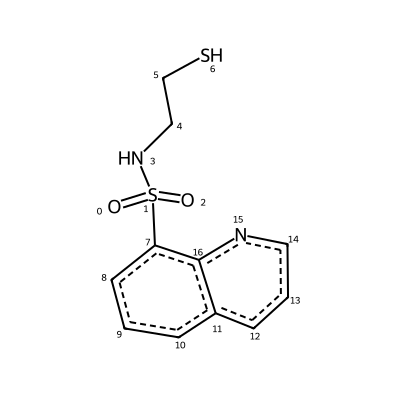 O=S(=O)(NCCS)c1cccc2cccnc12